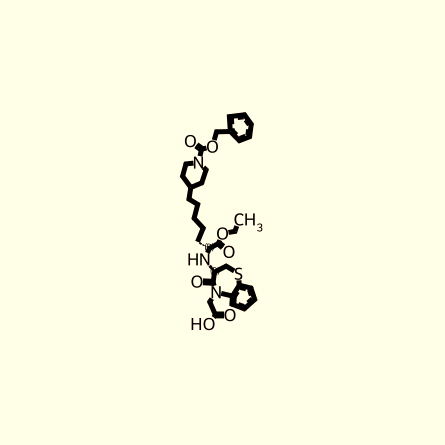 CCOC(=O)[C@@H](CCCCCC1CCN(C(=O)OCc2ccccc2)CC1)N[C@H]1CSc2ccccc2N(CC(=O)O)C1=O